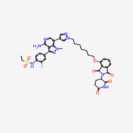 CCS(=O)(=O)Nc1ccc(-c2nn(C)c3c(-c4cnn(CCCCCCCOc5cccc6c5C(=O)N(C5CCC(=O)NC5=O)C6=O)c4)cnc(N)c23)cc1F